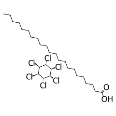 CCCCCCCCCCCCCCCCCCCCCC(=O)O.Cl[C@H]1[C@H](Cl)[C@@H](Cl)[C@@H](Cl)[C@H](Cl)[C@H]1Cl